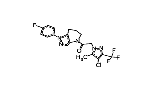 Cc1c(Cl)c(C(F)(F)F)nn1CC(=O)N1CCCc2c1cnn2-c1ccc(F)cc1